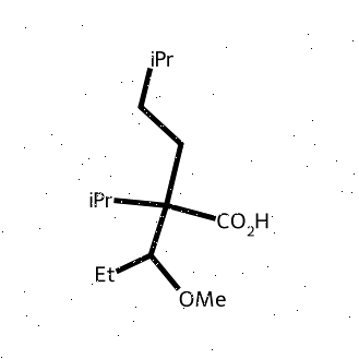 CCC(OC)C(CCC(C)C)(C(=O)O)C(C)C